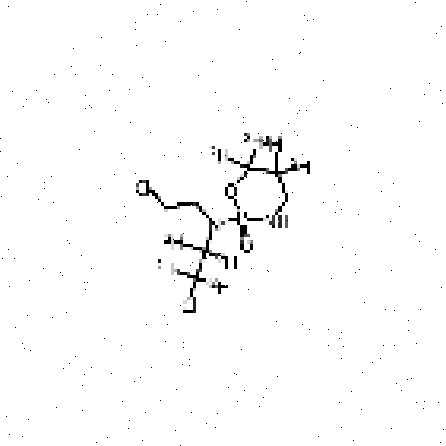 [2H]C([2H])(Cl)C([2H])([2H])N(CCCl)P1(=O)NCC([2H])([2H])C([2H])([2H])O1